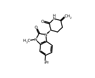 C=C1CC[C@@H](n2c(=O)n(C)c3cc(C(C)C)ccc32)C(=O)N1